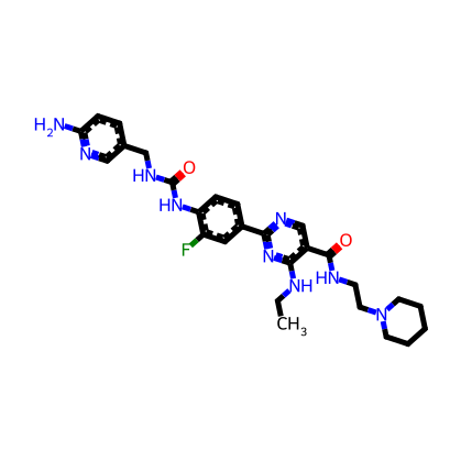 CCNc1nc(-c2ccc(NC(=O)NCc3ccc(N)nc3)c(F)c2)ncc1C(=O)NCCN1CCCCC1